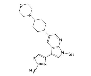 Cc1nc(-c2cn(S)c3ncc([C@H]4CC[C@@H](N5CCOCC5)CC4)cc23)cs1